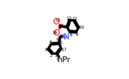 CCCc1cccc(-c2nc3ccccc3c(=O)o2)c1